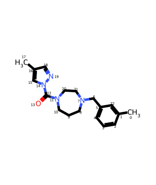 Cc1cccc(CN2CCCN(C(=O)n3cc(C)cn3)CC2)c1